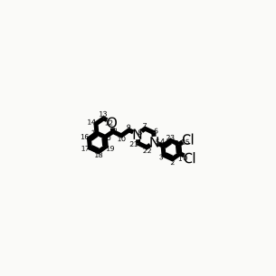 Clc1ccc(N2CCN(CCC3OCCc4ccccc43)CC2)cc1Cl